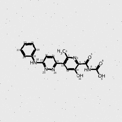 Cc1nc(C(=O)NC(=O)O)c(O)cc1-c1ccc(Nc2ccccc2)nn1